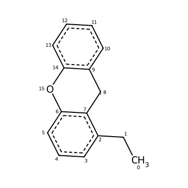 CCc1cccc2c1[CH]c1ccccc1O2